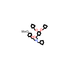 COc1ccc(CCCN(Cc2ccccc2)C[C@@H](O)c2ccc(OCc3ccccc3)c(OCc3ccccc3)c2)cc1